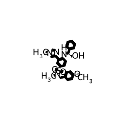 COc1ccc(CN(C)S(=O)(=O)c2ccc(N[C@@H](CO)c3ccccc3)c(-c3cn(C)cn3)c2)cc1